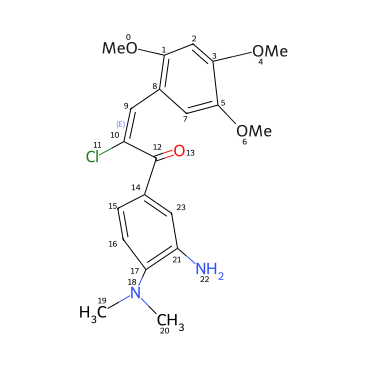 COc1cc(OC)c(OC)cc1/C=C(/Cl)C(=O)c1ccc(N(C)C)c(N)c1